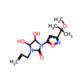 C=CCN1C(=O)N(c2cc(C(C)(C)OC)no2)C(O)C1O